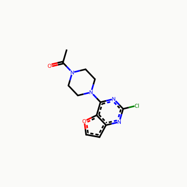 CC(=O)N1CCN(c2nc(Cl)nc3ccoc23)CC1